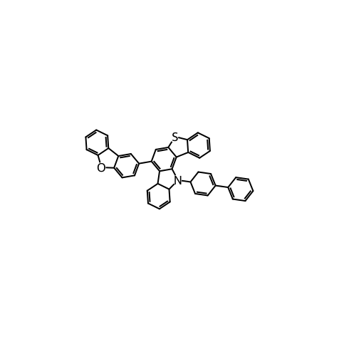 C1=CC2c3c(-c4ccc5oc6ccccc6c5c4)cc4sc5ccccc5c4c3N(C3C=CC(c4ccccc4)=CC3)C2C=C1